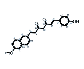 COc1ccc2cc(C=CC(=O)CC(=O)C=Cc3ccc(O)cc3)ccc2c1